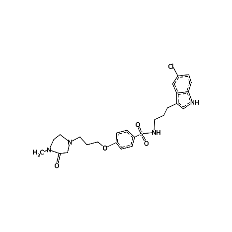 CN1CCN(CCCOc2ccc(S(=O)(=O)NCCCc3c[nH]c4ccc(Cl)cc34)cc2)CC1=O